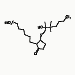 CCOC(=O)CCCCCCC1C(=O)CCC1SCC(C)(O)C(C)(C)CCCC(F)(F)F